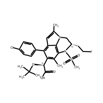 Cc1c([C@H](OC(C)(C)C)C(=O)O)c(-c2ccc(Cl)cc2)c2cc(C)n3c2c1N(S(C)(=O)=O)[C@@H](CCF)C3